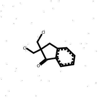 O=C1c2ccccc2CC1(CCl)CCl